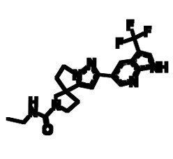 CCNC(=O)N1CCC2(CCn3nc(-c4cnc5[nH]cc(C(F)(F)F)c5c4)cc32)C1